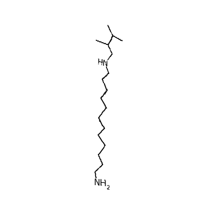 CC(C)C(C)CNCCCCCCCCCCCCN